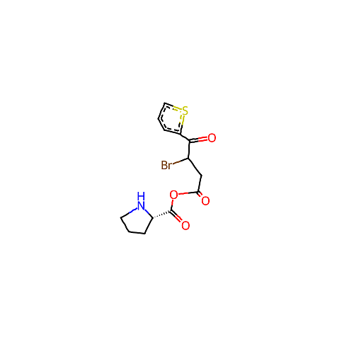 O=C(CC(Br)C(=O)c1cccs1)OC(=O)[C@@H]1CCCN1